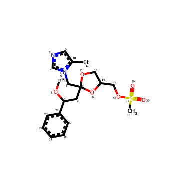 CCCOC(CC1(Cn2cncc2CC)OCC(COS(C)(=O)=O)O1)c1ccccc1